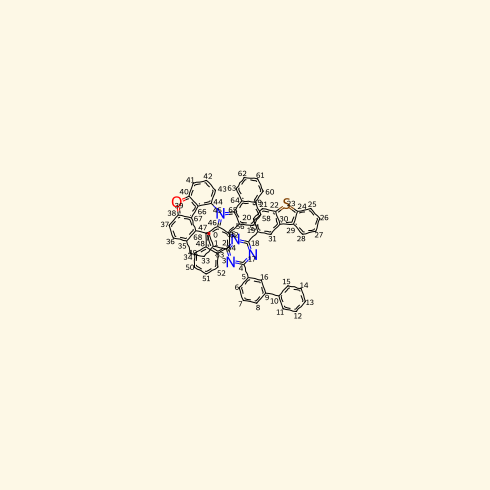 C1=C(c2nc(-c3cccc(-c4ccccc4)c3)nc(-c3ccc4sc5ccccc5c4c3)n2)CCc2ccc3oc4cccc(-n5c6cc7ccccc7cc6c6ccc7ccccc7c65)c4c3c21